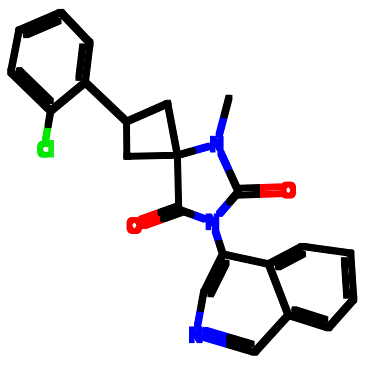 CN1C(=O)N(c2cncc3ccccc23)C(=O)C12CC(c1ccccc1Cl)C2